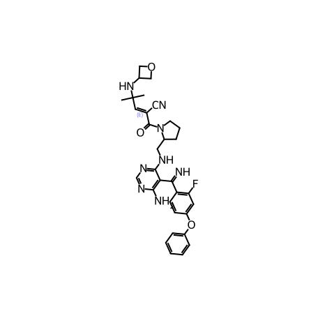 CC(C)(/C=C(\C#N)C(=O)N1CCCC1CNc1ncnc(N)c1C(=N)c1ccc(Oc2ccccc2)cc1F)NC1COC1